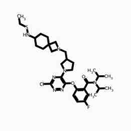 CCSNC1CCC2(CC1)CN(CC1CCN(c3nc(Cl)nnc3Oc3ccc(F)cc3C(=O)N(C(C)C)C(C)C)C1)C2